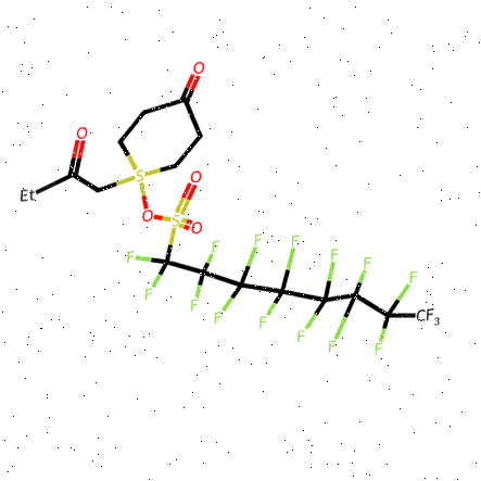 CCC(=O)CS1(OS(=O)(=O)C(F)(F)C(F)(F)C(F)(F)C(F)(F)C(F)(F)C(F)(F)C(F)(F)C(F)(F)F)CCC(=O)CC1